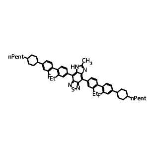 CCCCCC1CCC(c2ccc(-c3ccc(-c4c5nsnc5c(-c5ccc(-c6ccc(C7CCC(CCCCC)CC7)cc6F)c(CC)c5)c5[nH]c(C)nc45)cc3CC)c(F)c2)CC1